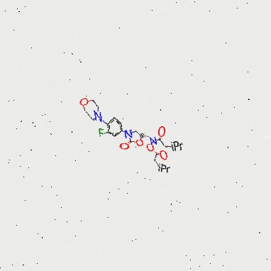 CC(C)CC(=O)ON(C[C@H]1CN(c2ccc(N3CCOCC3)c(F)c2)C(=O)O1)C(=O)CC(C)C